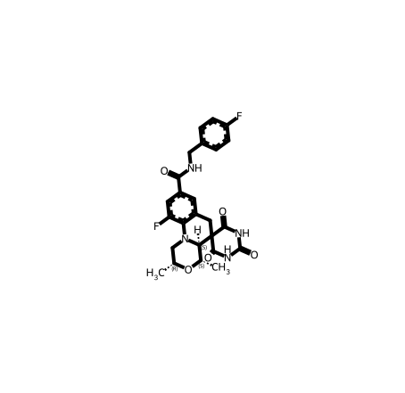 C[C@@H]1CN2c3c(F)cc(C(=O)NCc4ccc(F)cc4)cc3CC3(C(=O)NC(=O)NC3=O)[C@H]2[C@H](C)O1